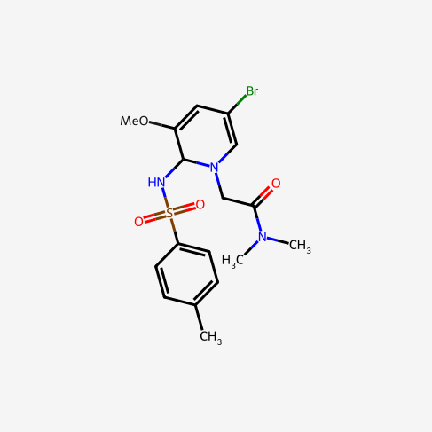 COC1=CC(Br)=CN(CC(=O)N(C)C)C1NS(=O)(=O)c1ccc(C)cc1